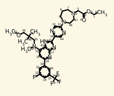 CCOC(=O)CN1CCCN(c2cnc(-c3nc4nc(-c5cc(F)cc(C(F)(F)F)c5)cc(N(C)CC(C)(C)COC)c4[nH]3)cn2)CC1